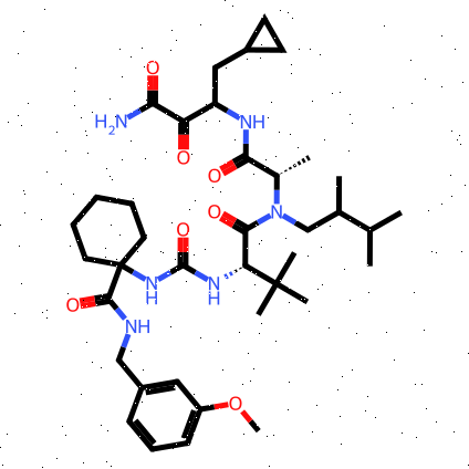 COc1cccc(CNC(=O)C2(NC(=O)N[C@H](C(=O)N(CC(C)C(C)C)[C@@H](C)C(=O)NC(CC3CC3)C(=O)C(N)=O)C(C)(C)C)CCCCC2)c1